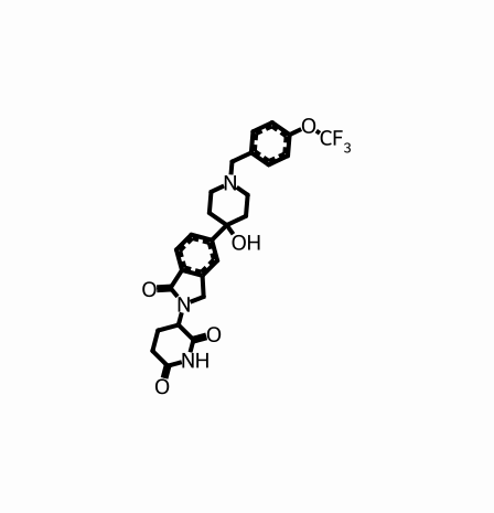 O=C1CCC(N2Cc3cc(C4(O)CCN(Cc5ccc(OC(F)(F)F)cc5)CC4)ccc3C2=O)C(=O)N1